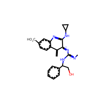 C=C1/C(=N\C(=N/C)NC(CO)c2ccccc2)C(NC2CC2)=Nc2cc(C(=O)O)ccc21